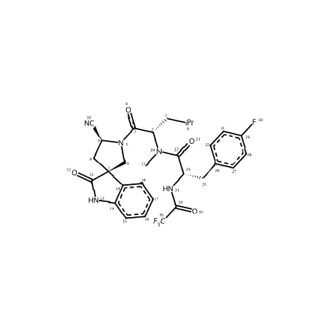 CC(C)C[C@@H](C(=O)N1C[C@]2(C[C@H]1C#N)C(=O)Nc1ccccc12)N(C)C(=O)[C@H](Cc1ccc(F)cc1)NC(=O)C(F)(F)F